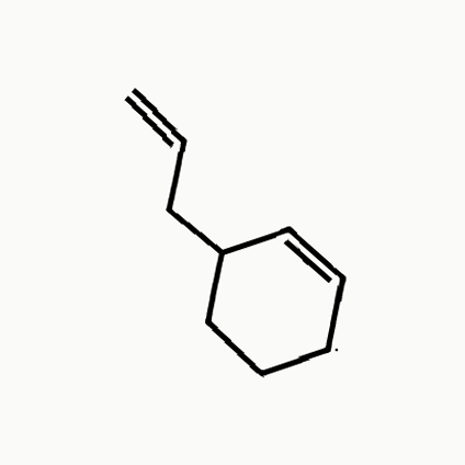 C=CCC1C=C[CH]CC1